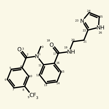 CN(C(=O)c1cccc(C(F)(F)F)c1)c1ccccc1C(=O)NCCc1ncc[nH]1